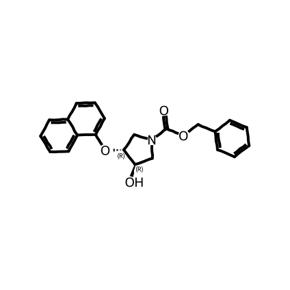 O=C(OCc1ccccc1)N1C[C@@H](O)[C@H](Oc2cccc3ccccc23)C1